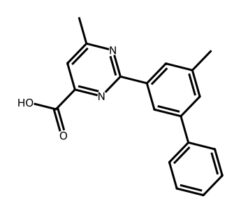 Cc1cc(-c2ccccc2)cc(-c2nc(C)cc(C(=O)O)n2)c1